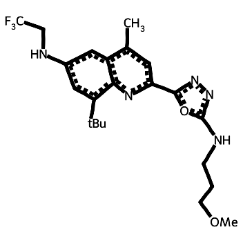 COCCCNc1nnc(-c2cc(C)c3cc(NCC(F)(F)F)cc(C(C)(C)C)c3n2)o1